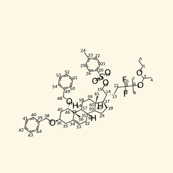 CCOC(C)OC(C)(C)C(F)(F)CC[C@@H](COS(=O)(=O)c1ccc(C)cc1)[C@H]1CC[C@H]2[C@@H]3CC=C4C[C@@H](OCc5ccccc5)C[C@H](OCc5ccccc5)[C@]4(C)[C@H]3CC[C@]12C